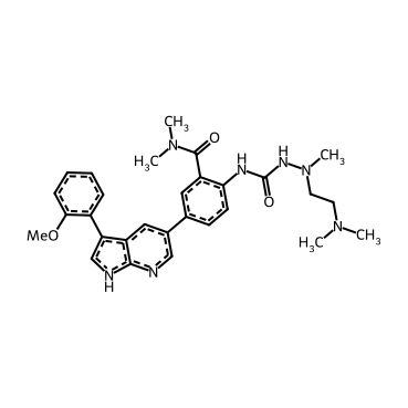 COc1ccccc1-c1c[nH]c2ncc(-c3ccc(NC(=O)NN(C)CCN(C)C)c(C(=O)N(C)C)c3)cc12